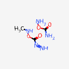 CNOC(=O)N=N.NOC(N)=O